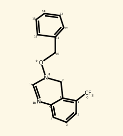 FC(F)(F)c1cccc2c1CN(OCc1ccccc1)C=N2